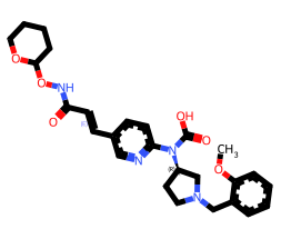 COc1ccccc1CN1CC[C@@H](N(C(=O)O)c2ccc(/C=C/C(=O)NOC3CCCCO3)cn2)C1